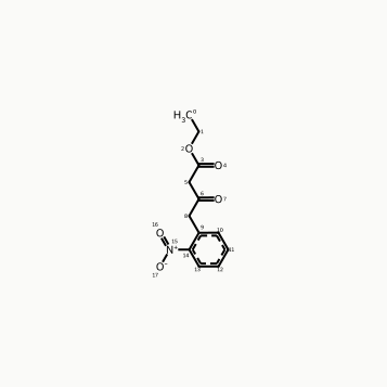 CCOC(=O)CC(=O)Cc1ccccc1[N+](=O)[O-]